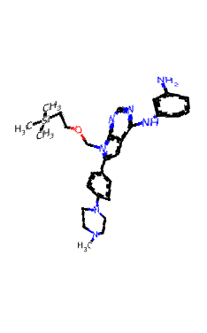 CN1CCN(c2ccc(-c3cc4c(Nc5cccc(N)c5)ncnc4n3COCC[Si](C)(C)C)cc2)CC1